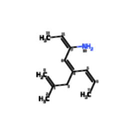 C=C(C)CC(/C=C\C)=C/C(N)=C\C